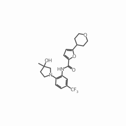 CC1(O)CCN(c2ccc(C(F)(F)F)cc2NC(=O)c2ccc(C3CCOCC3)o2)C1